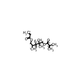 C=CC(=O)OCC(C)C(F)(F)C(C)(C)COC(=O)C(=C)C